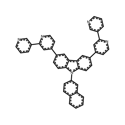 c1cncc(-c2cc(-c3ccc4c(c3)c3cc(-c5ccnc(-c6cccnc6)c5)ccc3n4-c3ccc4ccccc4c3)ccn2)c1